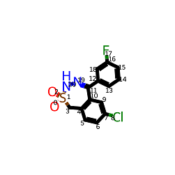 O=S1(=O)Cc2ccc(Cl)cc2C(c2cccc(F)c2)=NN1